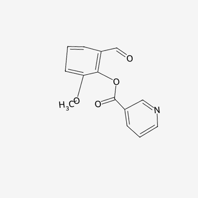 COc1cccc(C=O)c1OC(=O)c1cccnc1